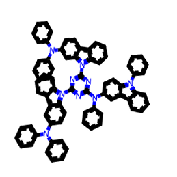 c1ccc(N(c2ccccc2)c2ccc3c(c2)c2ccccc2n3-c2nc(N(c3ccccc3)c3ccc4c(c3)c3ccccc3n4-c3ccccc3)nc(-n3c4ccccc4c4ccc(N(c5ccccc5)c5ccccc5)cc43)n2)cc1